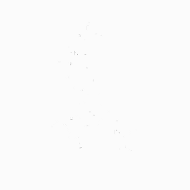 CC(C)(C)OC(=O)NCc1cc2cc(-c3ccc(C(=O)N4CCC(F)(F)CC4)cc3)cc(-c3cc(Cl)cc(Cl)c3)c2o1